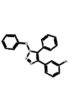 Brc1cccc(-c2nnn(Oc3ccccc3)c2-c2ccccc2)c1